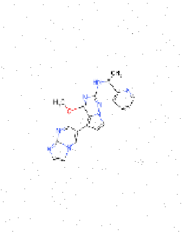 COc1nc(N[C@H](C)c2ccccn2)nn2ccc(-c3cnc4nccn4c3)c12